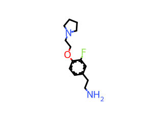 NCCc1ccc(OCCN2CCCC2)c(F)c1